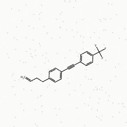 C=CCCc1ccc(C#Cc2ccc(C(F)(F)F)cc2)cc1